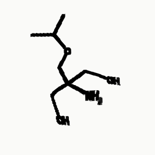 CC(C)OCC(N)(CO)CO